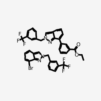 CCOC(=O)c1cccc(-c2cccc3cn(Cc4cccc(C(F)(F)F)c4)nc23)c1.FC(F)(F)c1cccc(Cn2cc3cccc(Br)c3n2)c1